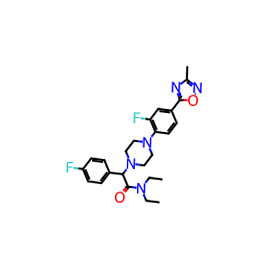 CCN(CC)C(=O)C(c1ccc(F)cc1)N1CCN(c2ccc(-c3nc(C)no3)cc2F)CC1